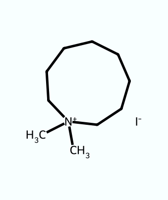 C[N+]1(C)CCCCCCCC1.[I-]